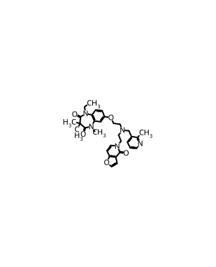 CCN1C(=O)C(C)(C)C(=O)N(C)c2cc(OCCN(CCn3ccc4occc4c3=O)Cc3cccnc3C)ccc21